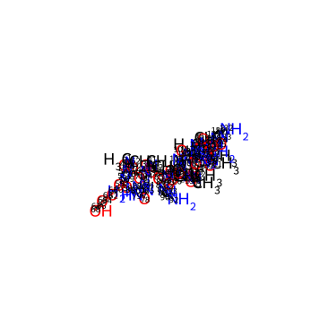 CC(C)N1C[C@@H](COP(=O)(N(C)C)N2C[C@@H](COP(=O)(N(C)C)N3C[C@@H](COP(=O)(N(C)C)N4C[C@@H](COP(=O)(N(C)C)N5C[C@@H](COP(=O)(N(C)C)N6CCN(C(=O)OCCOCCOCCO)CC6)O[C@@H](n6cnc7c(=O)[nH]c(N)nc76)C5)O[C@@H](Cn5ccc(N)nc5=O)C4)O[C@@H](n4cnc5c(=O)[nH]c(N)nc54)C3)O[C@@H](Cn3cnc4c(=O)[nH]c(N)nc43)C2)O[C@@H](n2ccc(N)nc2=O)C1